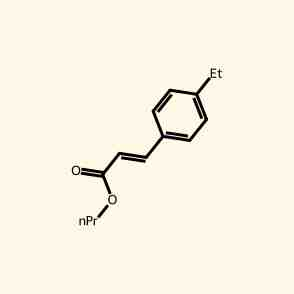 CCCOC(=O)C=Cc1ccc(CC)cc1